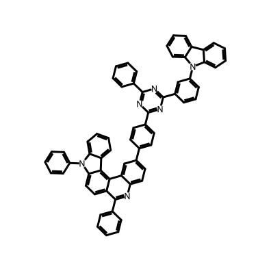 c1ccc(-c2nc(-c3ccc(-c4ccc5nc(-c6ccccc6)c6ccc7c(c8ccccc8n7-c7ccccc7)c6c5c4)cc3)nc(-c3cccc(-n4c5ccccc5c5ccccc54)c3)n2)cc1